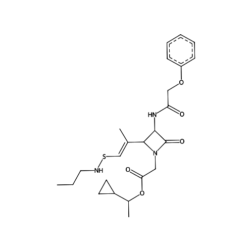 CCCNSC=C(C)C1C(NC(=O)COc2ccccc2)C(=O)N1CC(=O)OC(C)C1CC1